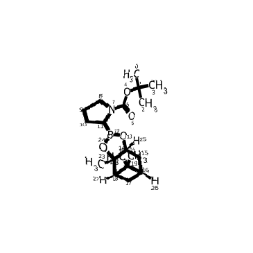 CC(C)(C)OC(=O)N1CCCC1B1O[C@@H]2C[C@@H]3C[C@@H](C3(C)C)[C@]2(C)O1